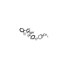 CN1CCC(Oc2ccc(C(=O)Nc3nc(-c4ccccc4Cl)cs3)nc2)CC1